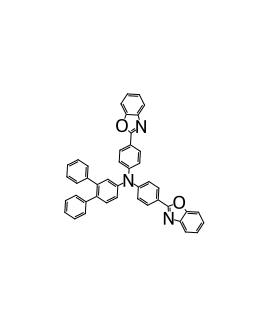 c1ccc(-c2ccc(N(c3ccc(-c4nc5ccccc5o4)cc3)c3ccc(-c4nc5ccccc5o4)cc3)cc2-c2ccccc2)cc1